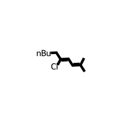 CCCCCC(Cl)=CC=C(C)C